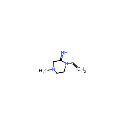 C=CN1CCN(C)CC1=N